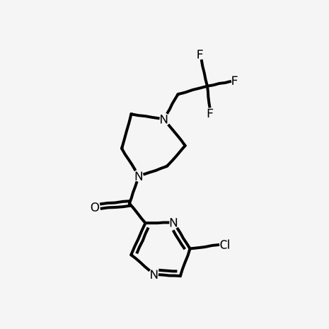 O=C(c1cncc(Cl)n1)N1CCN(CC(F)(F)F)CC1